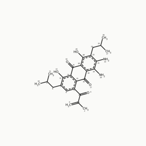 C=C(C)C(=O)c1cc(CC(C)C)c(O)c2c1C(=O)c1c(N)c(N)c(CC(C)C)c(O)c1C2=O